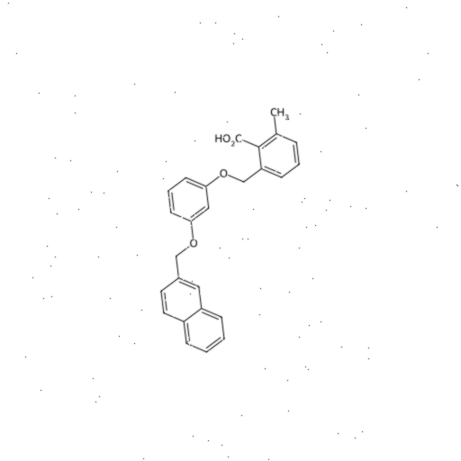 Cc1cccc(COc2cccc(OCc3ccc4ccccc4c3)c2)c1C(=O)O